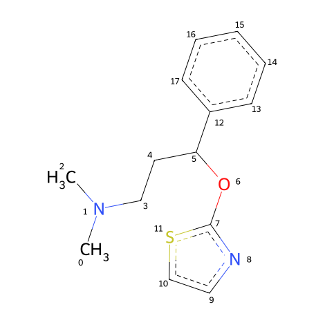 CN(C)CCC(Oc1nccs1)c1ccccc1